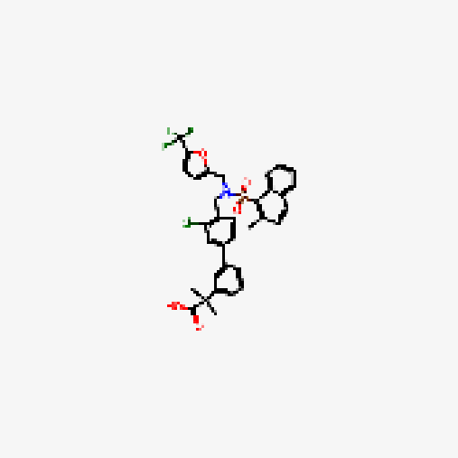 Cc1ccc2ccccc2c1S(=O)(=O)N(Cc1ccc(C(F)(F)F)o1)Cc1ccc(-c2cccc(C(C)(C)C(=O)O)c2)cc1Cl